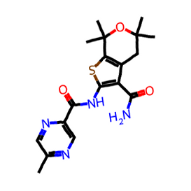 Cc1cnc(C(=O)Nc2sc3c(c2C(N)=O)CC(C)(C)OC3(C)C)cn1